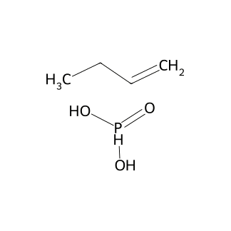 C=CCC.O=[PH](O)O